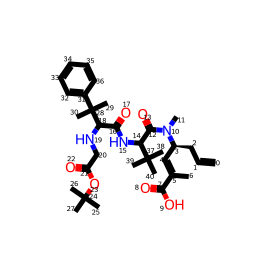 C=CC[C@@H](/C=C(\C)C(=O)O)N(C)C(=O)C(NC(=O)C(NCC(=O)OC(C)(C)C)C(C)(C)c1ccccc1)C(C)(C)C